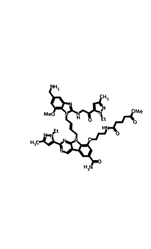 CCn1nc(C)cc1C(=O)CNc1nc2cc(CN)cc(OC)c2n1C/C=C/Cn1c2nc(-c3cc(C)nn3CC)ncc2c2cc(C(N)=O)cc(OCCCNC(=O)CCCC(=O)OC)c21